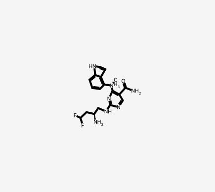 CN(c1nc(NC[C@@H](N)CC(F)F)ncc1C(N)=O)c1cccc2[nH]ccc12